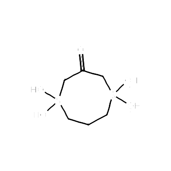 O=C1CS(O)(O)CCCS(O)(O)C1